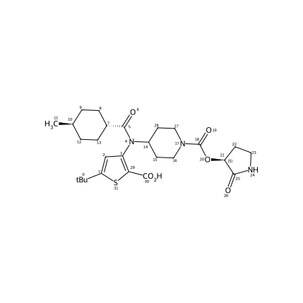 CC(C)(C)c1cc(N(C(=O)[C@H]2CC[C@H](C)CC2)C2CCN(C(=O)O[C@H]3CCNC3=O)CC2)c(C(=O)O)s1